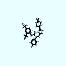 Nc1cnc(-c2nnc(CN(C(=O)Cc3ccc(C(F)(F)F)cc3C(F)(F)F)c3ccc(F)cc3)s2)cn1